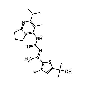 Cc1c(C(C)C)nc2c(c1NC(=O)/N=S(\N)c1sc(C(C)(C)O)cc1F)CCC2